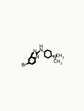 CN(C)[C@H]1CC[C@H](Nc2ncc3cc(Br)ccc3n2)CC1